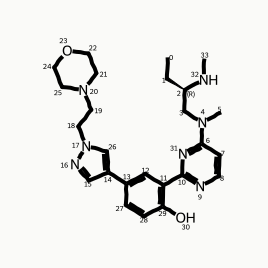 CC[C@H](CN(C)c1ccnc(-c2cc(-c3cnn(CCN4CCOCC4)c3)ccc2O)n1)NC